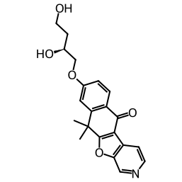 CC1(C)c2cc(OC[C@@H](O)CCO)ccc2C(=O)c2c1oc1cnccc21